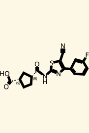 N#Cc1sc(NC(=O)[C@@H]2CC[C@H](C(=O)O)C2)nc1-c1cccc(F)c1